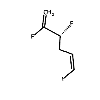 C=C(F)[C@H](F)C/C=C\I